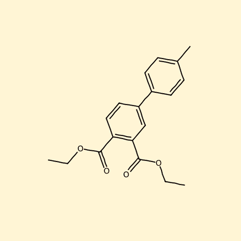 CCOC(=O)c1ccc(-c2ccc(C)cc2)cc1C(=O)OCC